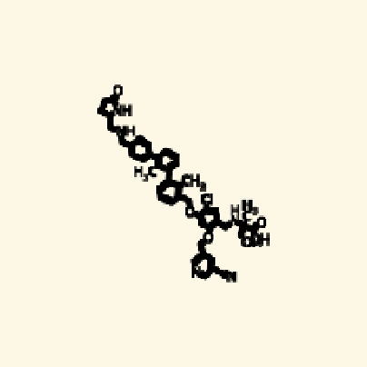 Cc1c(COc2cc(OCc3cncc(C#N)c3)c(CN[C@@](C)(CO)C(=O)O)cc2Cl)cccc1-c1cccc(-c2ccc(CNCC3CCC(=O)N3)cc2)c1C